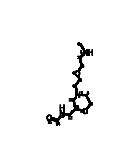 CNCCOCCN1CCOC(CNC=O)C1